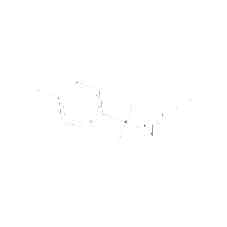 Cc1ccc(C(C)(C)N=C=O)cc1